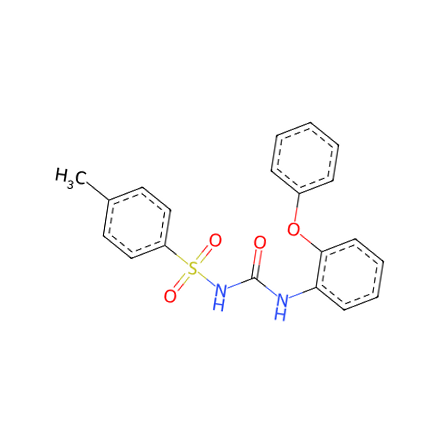 Cc1ccc(S(=O)(=O)NC(=O)Nc2ccccc2Oc2ccccc2)cc1